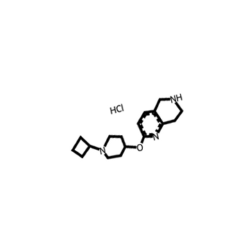 Cl.c1cc2c(nc1OC1CCN(C3CCC3)CC1)CCNC2